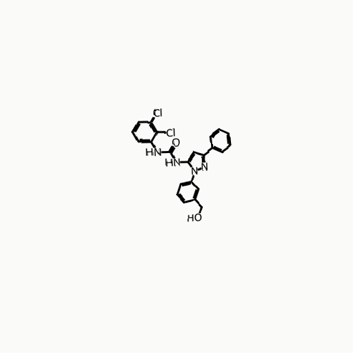 O=C(Nc1cccc(Cl)c1Cl)Nc1cc(-c2ccccc2)nn1-c1cccc(CO)c1